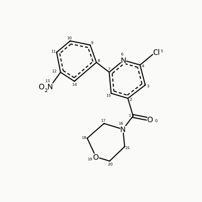 O=C(c1cc(Cl)nc(-c2cccc([N+](=O)[O-])c2)c1)N1CCOCC1